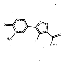 COC(=O)c1snc(-c2ccc(=O)n(C)c2)c1C(F)(F)F